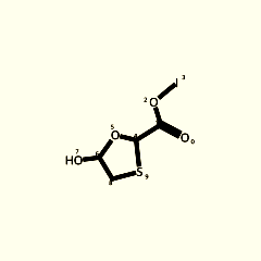 O=C(OI)C1OC(O)CS1